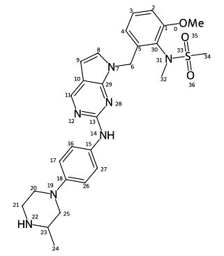 COc1cccc(Cn2ccc3cnc(Nc4ccc(N5CCNC(C)C5)cc4)nc32)c1N(C)S(C)(=O)=O